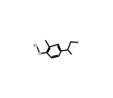 [CH2]C(CF)c1ccc(OCC)c(C)c1